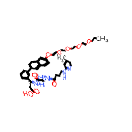 CCCOCCOCCOCCOCCOc1ccc2cc(-c3cccc([C@H](CC(=O)O)NC(=O)CNC(=O)CCCNc4cc(C)ccn4)c3)ccc2c1